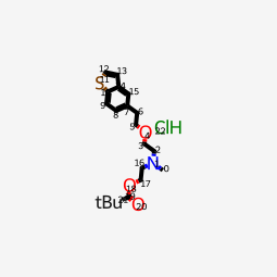 CN(CCOCCc1ccc2sccc2c1)CCOC(=O)C(C)(C)C.Cl